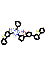 CN1C(c2ccc3sc4ccccc4c3c2)NC(c2ccccc2)NC1c1cccc2c1oc1ccc(-c3cccc4c3sc3ccccc34)cc12